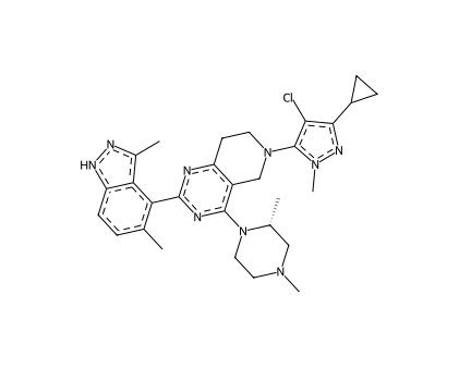 Cc1ccc2[nH]nc(C)c2c1-c1nc2c(c(N3CCN(C)C[C@H]3C)n1)CN(c1c(Cl)c(C3CC3)nn1C)CC2